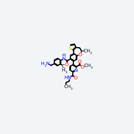 CCCNC(=O)c1ccc(-c2cc3c(cc2C(=O)Nc2ccc(CN)cc2C)-c2sccc2C[C@@H](C)O3)c(C(=O)OC)n1